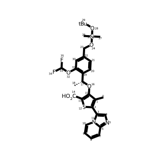 Cc1c(-c2cnc3ccccn23)sc(C(=O)O)c1O[C@H](C)c1ccc(CO[Si](C)(C)OC(C)(C)C)cc1OC(F)F